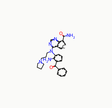 NC(=O)c1cccc2c(N(CCCN3CCCC3)c3cccc(C(=O)c4ccccc4)c3N)ncnc12